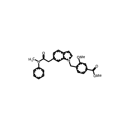 COC(=O)c1ccc(Cn2ccc3ccc(CC(=O)N(C)c4ccccc4)cc32)c(OC)c1